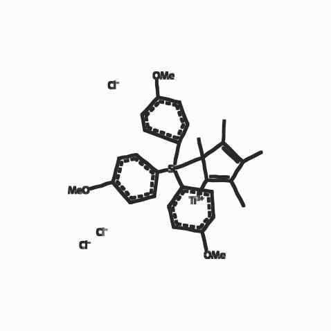 COc1ccc([Si](c2ccc(OC)cc2)(c2ccc(OC)cc2)C2(C)C(C)=C(C)C(C)=[C]2[Ti+3])cc1.[Cl-].[Cl-].[Cl-]